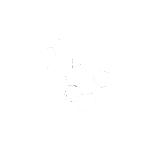 COc1ccc([C@H](N[C@H](C)CC(N)=O)C2CC2)c(F)c1C(=O)c1cccc(F)c1.Cl